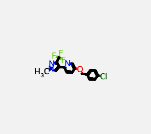 Cn1cc(-c2ccc(OCc3ccc(Cl)cc3)cn2)c(C(F)(F)F)n1